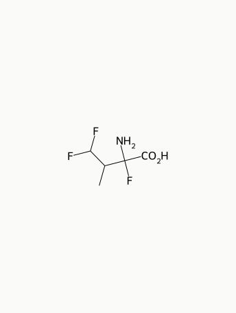 CC(C(F)F)C(N)(F)C(=O)O